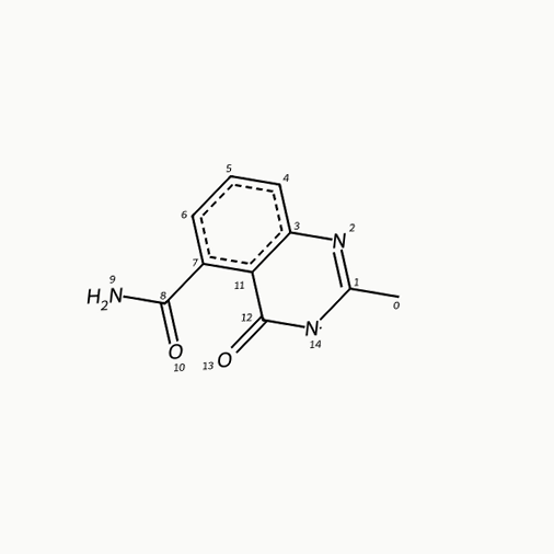 CC1=Nc2cccc(C(N)=O)c2C(=O)[N]1